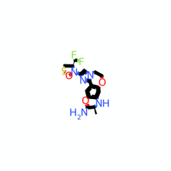 C[C@H](Nc1ccc2c(c1)OCCn1cc(N3OSC[C@@H]3C(F)F)nc1-2)C(N)=O